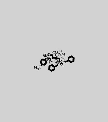 Cc1ccc(S(=O)(=O)O[C@H](C(=O)O)C(C)C(C)(CP(=O)(OCc2ccccc2)OCc2ccccc2)C(=O)O)cc1